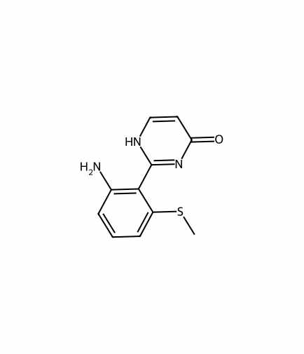 CSc1cccc(N)c1-c1nc(=O)cc[nH]1